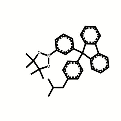 CC(C)Cc1ccc(C2(c3cccc(B4OC(C)(C)C(C)(C)O4)c3)c3ccccc3-c3ccccc32)cc1